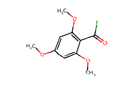 COc1cc(OC)c(C(=O)F)c(OC)c1